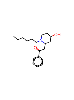 CCCCCCN1CCC(O)CC1CC(=O)c1ccccc1